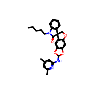 CCCCCN1C(=O)C2(COc3cc4c(cc32)OC(Nc2cc(C)cc(C)n2)O4)c2ccccc21